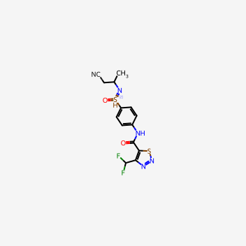 CC(CC#N)/N=[SH](=O)/c1ccc(NC(=O)c2snnc2C(F)F)cc1